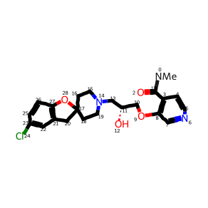 CNC(=O)c1ccncc1OC[C@H](O)CN1CCC2(CC1)Cc1cc(Cl)ccc1O2